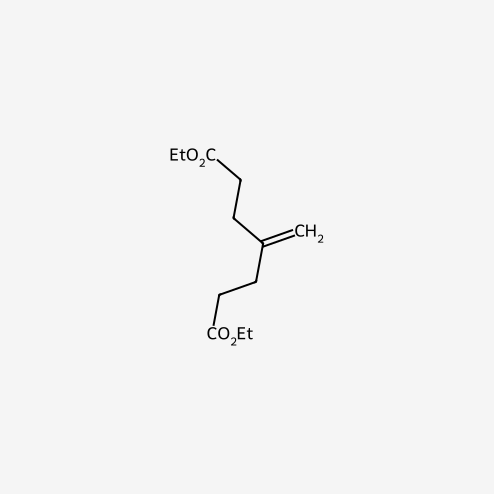 C=C(CCC(=O)OCC)CCC(=O)OCC